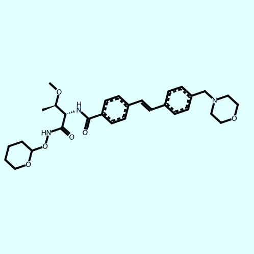 CO[C@H](C)[C@H](NC(=O)c1ccc(/C=C/c2ccc(CN3CCOCC3)cc2)cc1)C(=O)NOC1CCCCO1